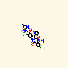 Cc1cnc(NC(=O)c2ccc(CN3C(=O)c4ccc(Cl)cc4NC(=O)C3Cc3ccccn3)cc2Cl)s1